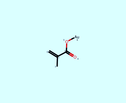 C=C(C)C(=O)[O][Au]